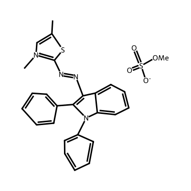 COS(=O)(=O)[O-].Cc1c[n+](C)c(N=Nc2c(-c3ccccc3)n(-c3ccccc3)c3ccccc23)s1